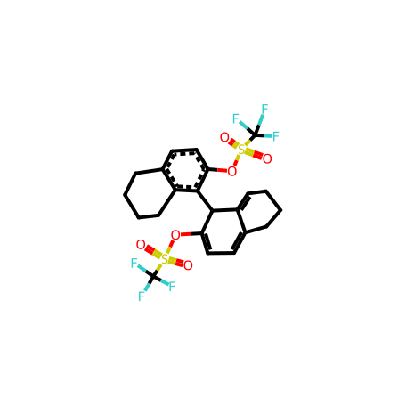 O=S(=O)(OC1=CC=C2CCCC=C2C1c1c(OS(=O)(=O)C(F)(F)F)ccc2c1CCCC2)C(F)(F)F